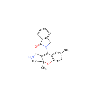 CC1(C)Oc2ccc([N+](=O)[O-])cc2C(N2Cc3ccccc3C2=O)=C1CN